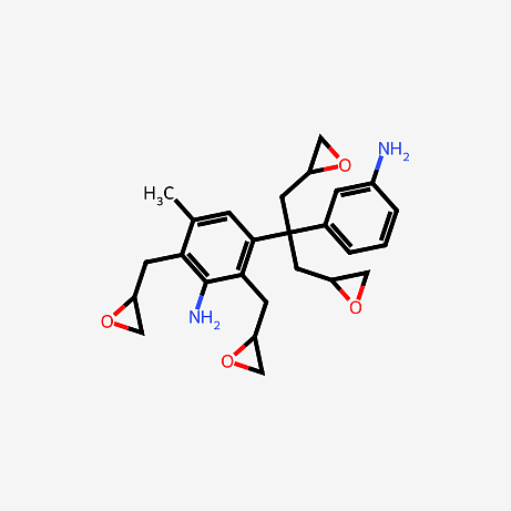 Cc1cc(C(CC2CO2)(CC2CO2)c2cccc(N)c2)c(CC2CO2)c(N)c1CC1CO1